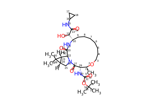 C[C@@H]1OCCCCCCC[C@@H](C(O)C(=O)NC2CC2)NC(=O)[C@@H]2[C@@H]3[C@H](CN2C(=O)[C@H]1NC(=O)OC(C)(C)C)C3(C)C